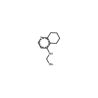 CC(C)(C)CNc1ccnc2c1CCCC2